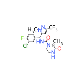 C[C@@H]1C(=O)NCCN1C(=O)NC(c1ccc(F)c(Cl)c1)c1cc(C(F)(F)F)nn1C